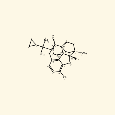 BC(B)(C1CC1)N1CC[C@]23c4c5ccc(O)c4O[C@H]2[C@]2(OC)CC[C@]3(CC2)[C@H]1C5